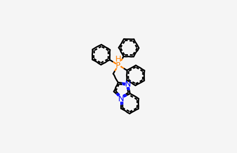 c1ccc([PH](Cc2cn3ccccc3n2)(c2ccccc2)c2ccccc2)cc1